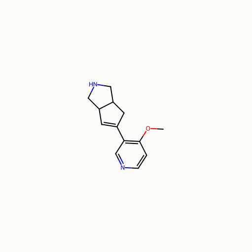 COc1ccncc1C1=CC2CNCC2C1